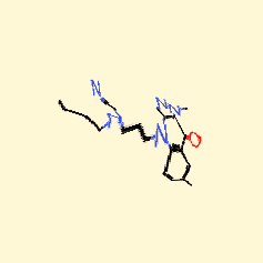 CCCCN(CC#N)CCCn1c2ccc(C)cc2c(=O)c2c1cnn2C